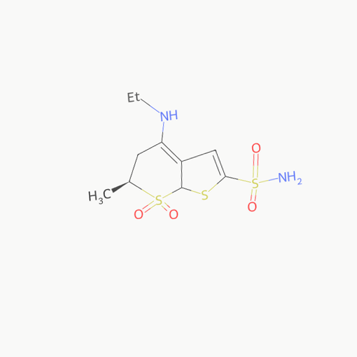 CCNC1=C2C=C(S(N)(=O)=O)SC2S(=O)(=O)[C@@H](C)C1